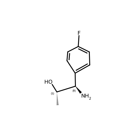 C[C@H](O)[C@H](N)c1ccc(F)cc1